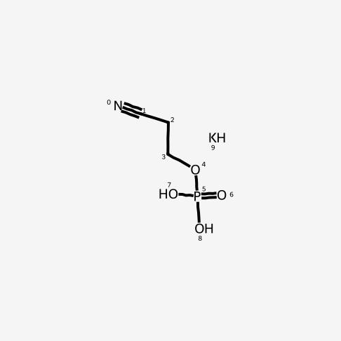 N#CCCOP(=O)(O)O.[KH]